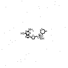 CC1CSSCC(OP(=O)(O)OCC2CCC(n3cnc4c(S)nc(N)nc43)O2)C1